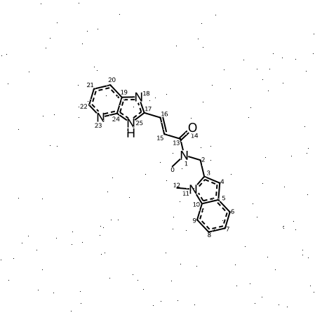 CN(Cc1cc2ccccc2n1C)C(=O)C=Cc1nc2cccnc2[nH]1